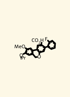 COc1cc2c(cc1OC(C)C)COc1cc(-c3ccccc3F)c(C(=O)O)cc1-2